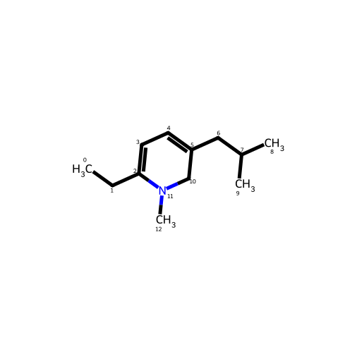 CCC1=CC=C(CC(C)C)CN1C